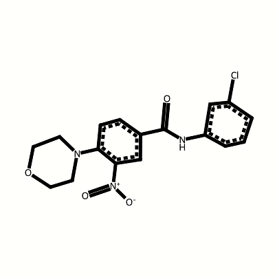 O=C(Nc1cccc(Cl)c1)c1ccc(N2CCOCC2)c([N+](=O)[O-])c1